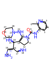 Cc1ncccc1NC(=O)N1CCC(C(=N)/C(C=N)=C/N)=C1NN1CCOCC1